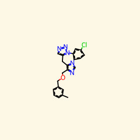 Cc1cccc(COCc2ncn3c2Cc2cnnn2-c2cc(Cl)ccc2-3)c1